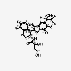 CC[C@@]1(O)C(=O)OCc2c1cc1n(c2=O)Cc2c-1nc1cc(F)c(C)c3c1c2[C@@H](NC(=O)C(O)CCO)CC3